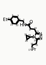 CCc1ccc(CNC(=O)CCc2nnc(CCC(C)C)n2C2CC2)cc1